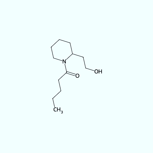 CCCCC(=O)N1CCCCC1CCO